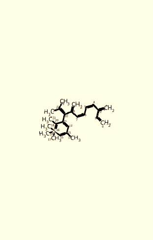 C=CC(=C)/C=C\C=C/C(=C)C(C1=CC(C)=CS(C)(C)(C)=C1C)=C(C)C